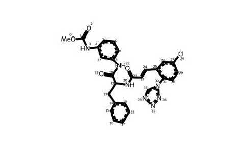 COC(=O)Nc1cccc(NC(=O)C(Cc2ccccc2)NC(=O)C=Cc2cc(Cl)ccc2-n2cnnn2)c1